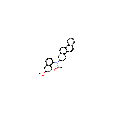 COc1ccc2c(N(C(C)=O)C3CCc4c(ccc5c4ccc4ccccc45)C3)cccc2c1